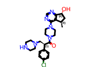 C[C@@H]1C[C@@H](O)c2ncnc(N3CCN(C(=O)[C@H](CN4CCNCC4)c4ccc(Cl)cc4)CC3)c21